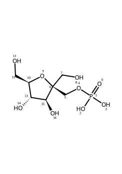 O=P(O)(O)OC[C@]1(CO)O[C@H](CO)[C@@H](O)[C@@H]1O